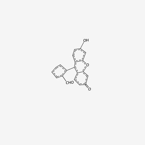 O=Cc1ccccc1-c1c2ccc(=O)cc-2oc2cc(O)ccc12